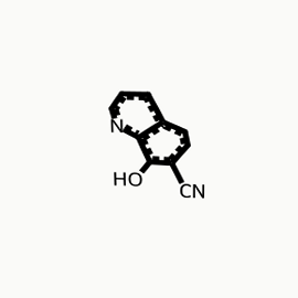 N#Cc1ccc2cccnc2c1O